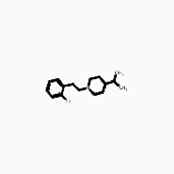 CC(C)C1CCN(CCc2ccccc2Cl)CC1